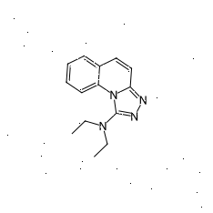 CCN(CC)c1nnc2ccc3ccccc3n12